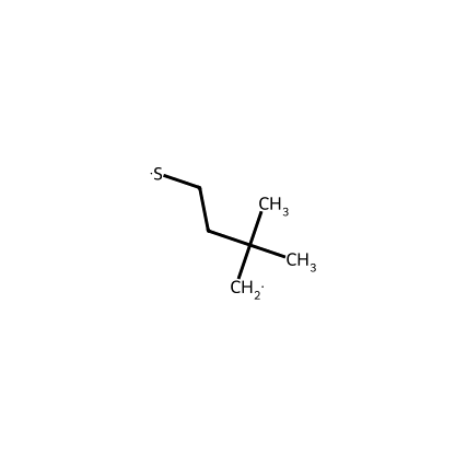 [CH2]C(C)(C)CC[S]